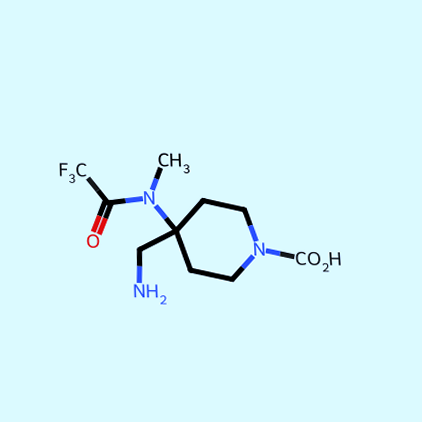 CN(C(=O)C(F)(F)F)C1(CN)CCN(C(=O)O)CC1